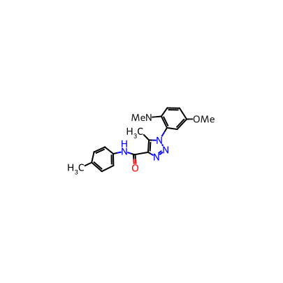 CNc1ccc(OC)cc1-n1nnc(C(=O)Nc2ccc(C)cc2)c1C